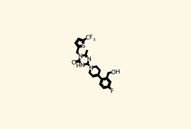 CC1=NC(N2CC=C(c3ccc(F)cc3CO)CC2)NC(=O)N1Cc1ccc(C(F)(F)F)s1